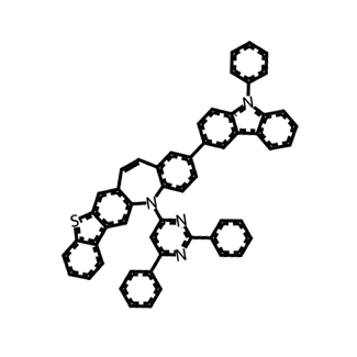 C1=Cc2cc3sc4ccccc4c3cc2N(c2cc(-c3ccccc3)nc(-c3ccccc3)n2)c2ccc(-c3ccc4c(c3)c3ccccc3n4-c3ccccc3)cc21